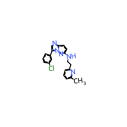 Cc1cccc(CCNc2ccc3ncc(-c4cccc(Cl)c4)n3n2)n1